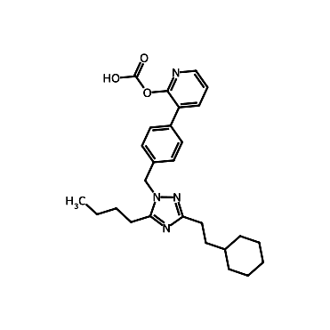 CCCCc1nc(CCC2CCCCC2)nn1Cc1ccc(-c2cccnc2OC(=O)O)cc1